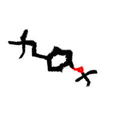 CC(C)(C)/C=C/c1ccc(OC(C)(C)C)cc1